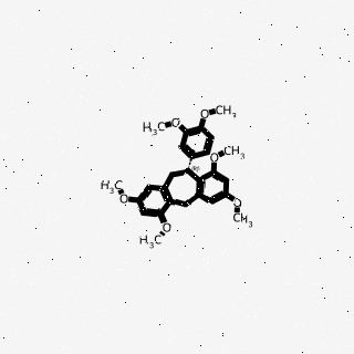 COc1cc2c(c(OC)c1)Cc1cc(OC)cc(OC)c1[C@@H](c1ccc(OC)c(OC)c1)C2